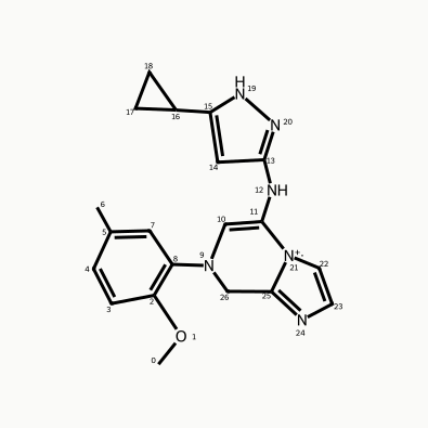 COc1ccc(C)cc1N1C=C(Nc2cc(C3CC3)[nH]n2)[N+]2C=CN=C2C1